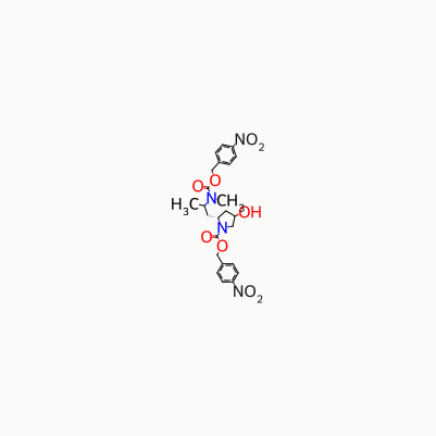 CC(C[C@@H]1C[C@@H](O)CN1C(=O)OCc1ccc([N+](=O)[O-])cc1)N(C)C(=O)OCc1ccc([N+](=O)[O-])cc1